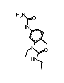 CCNC(=O)N(CC)c1cc(NC(N)=O)ccc1C